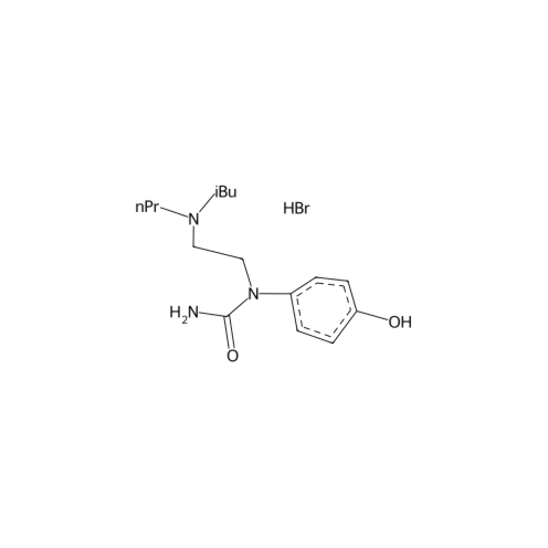 Br.CCCN(CCN(C(N)=O)c1ccc(O)cc1)C(C)CC